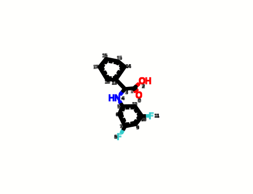 O=C(O)C(Nc1cc(F)cc(F)c1)c1ccccc1